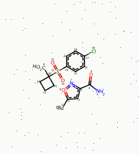 CC(C)(C)c1cc(C(N)=O)no1.O=C(O)C1(S(=O)(=O)c2ccc(Cl)cc2)CCC1